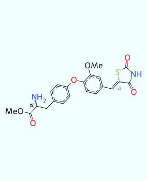 COC(=O)[C@@H](N)Cc1ccc(Oc2ccc(/C=C3\SC(=O)NC3=O)cc2OC)cc1